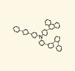 c1ccc(-c2ccc(-c3ccc(N(c4ccc(-c5cc6ccccc6c6ccccc56)cc4)c4cccc(-c5cccc(-c6ccccc6-c6ccccc6)c5)c4)cc3)cc2)cc1